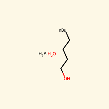 CCCCCCCCO.O.[AlH3]